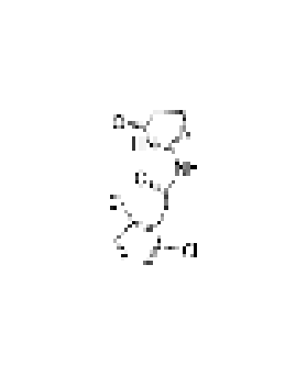 O=C1CCN=C(NC(=O)Cc2c(Cl)cccc2Cl)N1